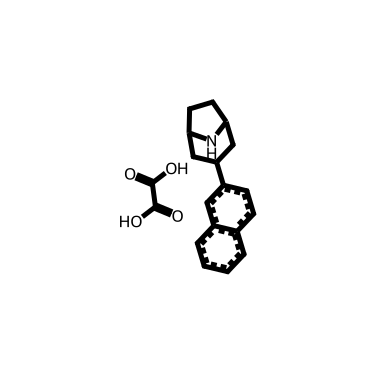 O=C(O)C(=O)O.c1ccc2cc(C3CC4CCC(C3)N4)ccc2c1